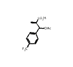 C=C(C(=O)O)C(OC(C)=O)c1ccc(C(F)(F)F)cc1